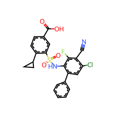 N#Cc1c(Cl)cc(-c2ccccc2)c(NS(=O)(=O)c2cc(C(=O)O)ccc2C2CC2)c1F